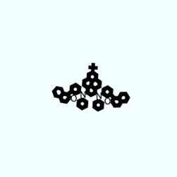 CC(C)(C)c1cc2ccc3c(N(c4ccccc4)c4cccc5c4oc4ccc6c(c45)CCC=C6)cc(N(c4ccccc4)c4cccc5c4oc4ccc6ccccc6c45)c4ccc(c1)c2c34